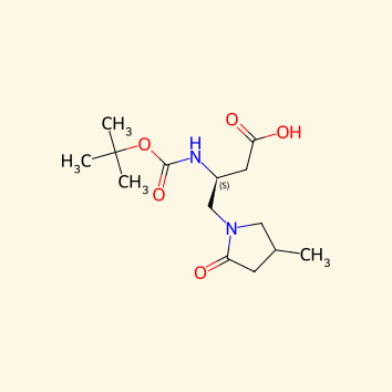 CC1CC(=O)N(C[C@H](CC(=O)O)NC(=O)OC(C)(C)C)C1